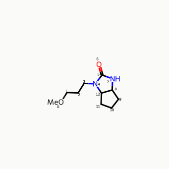 COCCCN1C(=O)NC2CCCC21